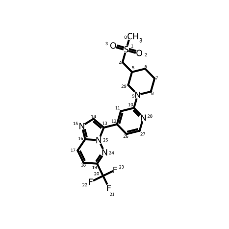 CS(=O)(=O)CC1CCCN(c2cc(-c3cnc4ccc(C(F)(F)F)nn34)ccn2)C1